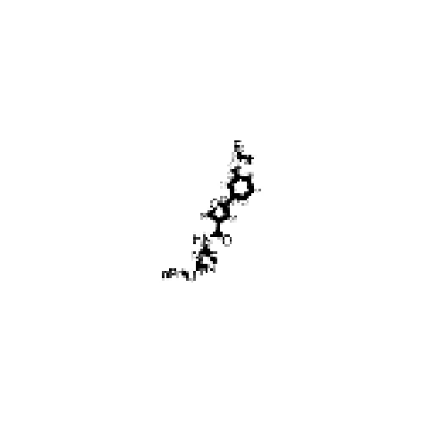 CCCOc1nsc(NC(=O)c2coc(-c3cccc(OC(F)F)c3)c2)n1